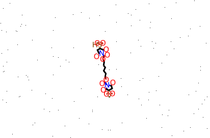 CS(=O)(=O)C1CC(=O)N(C(=O)OCCCCCCOC(=O)N2C(=O)CC([SH](=O)=O)C2=O)C1=O